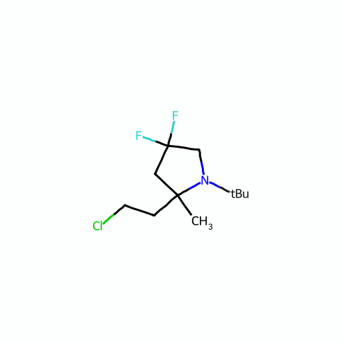 CC(C)(C)N1CC(F)(F)CC1(C)CCCl